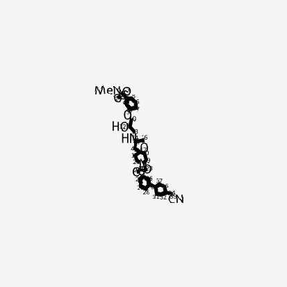 CNS(=O)(=O)c1cccc(OCC(O)CN[C@@H]2COC3(CCN(S(=O)(=O)c4cccc(-c5ccc(CC#N)cc5)c4)CC3)C2)c1